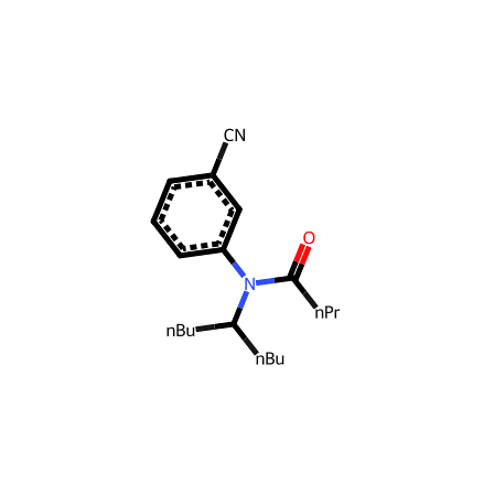 CCCCC(CCCC)N(C(=O)CCC)c1cccc(C#N)c1